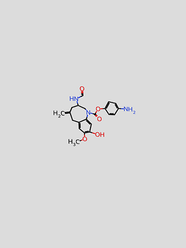 C=C1Cc2cc(OC)c(O)cc2N(C(=O)Oc2ccc(N)cc2)CC(NC=O)C1